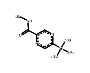 CCC[CH2][Sn]([CH2]CCC)([CH2]CCC)[c]1cnc(C(=O)NC(C)(C)C)cn1